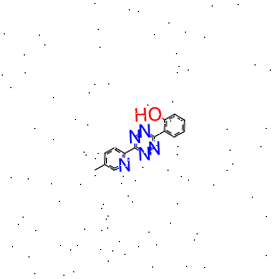 Cc1ccc(-c2nnc(-c3ccccc3O)nn2)nc1